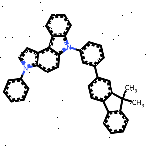 CC1(C)c2ccccc2-c2ccc(-c3cccc(-n4c5ccccc5c5c6ccn(-c7ccccc7)c6ccc54)c3)cc21